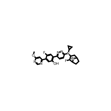 COc1cc(-c2cc(O)c(-c3ccc(N(C4CC4)C4CC5CCC(N5)C4F)nn3)cc2F)ncn1